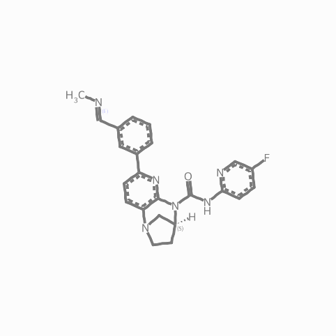 C/N=C/c1cccc(-c2ccc3c(n2)N(C(=O)Nc2ccc(F)cn2)[C@H]2CCN3C2)c1